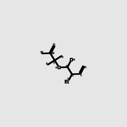 C=CC(CC)C([O])OC(C)(C)C(=C)C